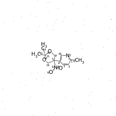 Cc1ccc(C2([N+](=O)[O-])COC(C)(C)OC2)cn1